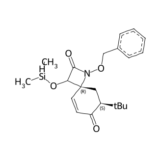 C[SiH](C)OC1C(=O)N(OCc2ccccc2)[C@]12C=CC(=O)[C@H](C(C)(C)C)C2